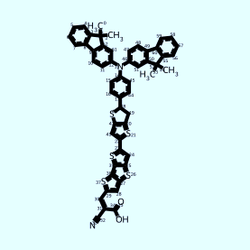 CC1(C)c2ccccc2-c2ccc(N(c3ccc(C4Cc5sc(-c6cc7sc8cc(/C=C(/C#N)C(=O)O)sc8c7s6)cc5S4)cc3)c3ccc4c(c3)C(C)(C)c3ccccc3-4)cc21